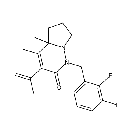 C=C(C)C1=C(C)C2(C)CCCN2N(Cc2cccc(F)c2F)C1=O